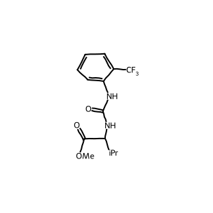 COC(=O)C(NC(=O)Nc1ccccc1C(F)(F)F)C(C)C